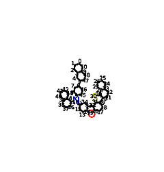 c1ccc2cc(-c3ccc(N(c4ccc5oc6ccc7c8ccc9ccccc9c8sc7c6c5c4)c4cccc5ccccc45)cc3)ccc2c1